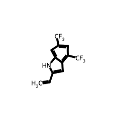 C=Cc1cc2c(C(F)(F)F)cc(C(F)(F)F)cc2[nH]1